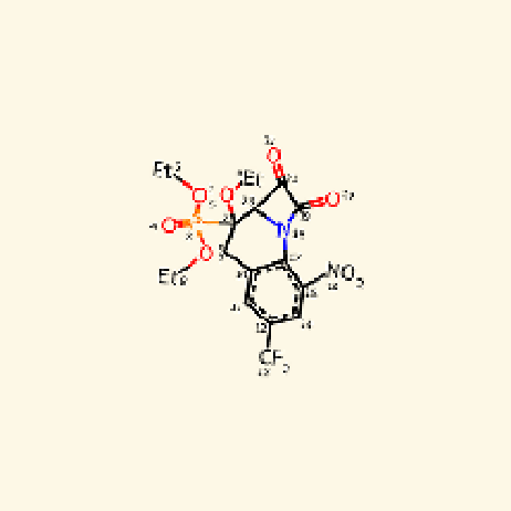 CCOC1(P(=O)(OCC)OCC)Cc2cc(C(F)(F)F)cc([N+](=O)[O-])c2N2C(=O)C(=O)C21